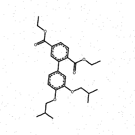 CCOC(=O)c1ccc(C(=O)OCC)c(-c2ccc(OCC(C)C)c(OCC(C)C)c2)c1